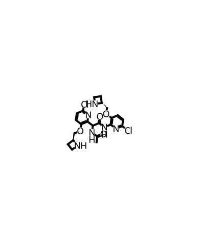 CC(=O)NC(C(=O)Nc1nc(Cl)ccc1OC[C@H]1CCN1)c1nc(Cl)ccc1OC[C@@H]1CCN1